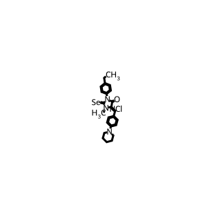 CCc1ccc(N2C(=O)C(=Cc3ccc(N4CCCCC4)cc3)N(C)C2=[Se])cc1.Cl